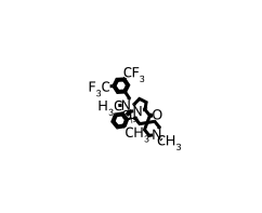 Cc1ccccc1[C@@H]1CC2(CCN(C)CC2)C(=O)C2CCC[N+]21C(=O)N(C)Cc1cc(C(F)(F)F)cc(C(F)(F)F)c1